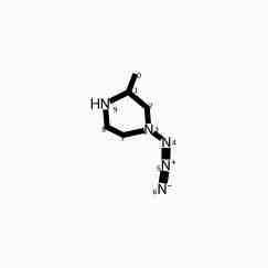 CC1CN(N=[N+]=[N-])CCN1